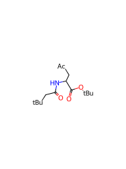 CC(=O)CC(NC(=O)CC(C)(C)C)C(=O)OC(C)(C)C